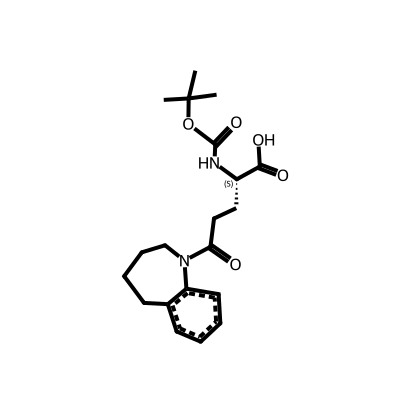 CC(C)(C)OC(=O)N[C@@H](CCC(=O)N1CCCCc2ccccc21)C(=O)O